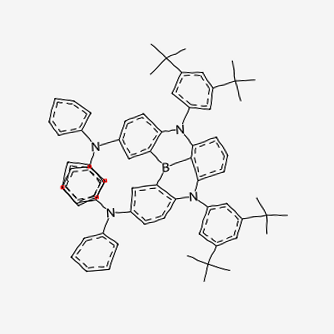 CC(C)(C)c1cc(N2c3ccc(N(c4ccccc4)c4ccccc4)cc3B3c4cc(N(c5ccccc5)c5ccccc5)ccc4N(c4cc(C(C)(C)C)cc(C(C)(C)C)c4)c4cccc2c43)cc(C(C)(C)C)c1